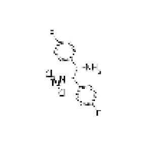 NC(c1ccc(F)cc1)C(N)c1ccc(F)cc1.[Cl][Pt][Cl]